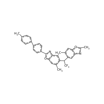 Cc1ccc(-c2ccc(-c3nc4cc(C(c5cc6nc(C)oc6cc5C)C(F)(F)F)c(C)cc4o3)cc2)cc1